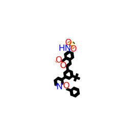 COC(=O)c1cc(NS(C)(=O)=O)ccc1/C=C/c1cc(-c2cccnc2OCc2ccccc2)cc(C(C)(C)C)c1